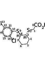 O=C(O)CS[C@@H]1CCCC[C@H]1Sc1cc(Cl)ccc1Cl